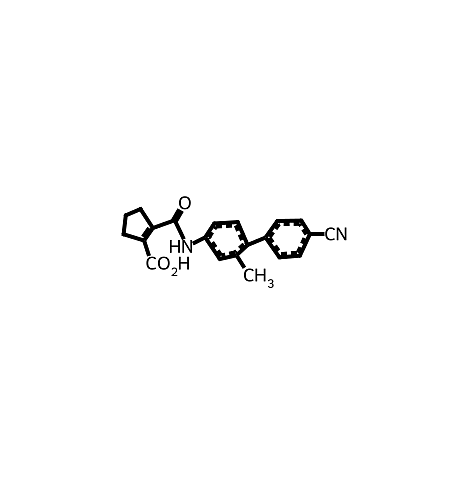 Cc1cc(NC(=O)C2=C(C(=O)O)CCC2)ccc1-c1ccc(C#N)cc1